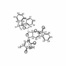 CC(C)(C)[Si](OC[C@H]1O[C@@H](n2cc(I)c(=O)[nH]c2=O)C2C=C3c4ccccc4C(=O)N3OC21)(c1ccccc1)c1ccccc1